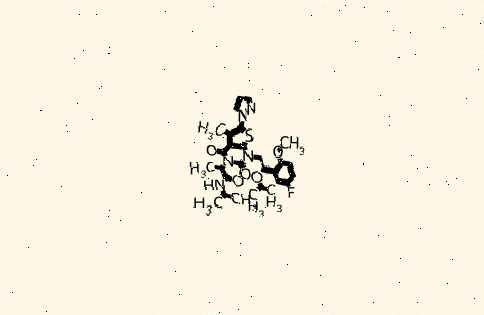 COc1ccc(F)cc1[C@H](Cn1c(=O)n(C(C)C(=O)NC(C)C)c(=O)c2c(C)c(-n3cccn3)sc21)OC(C)C